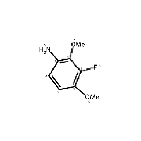 COc1ccc(N)c(OC)c1F